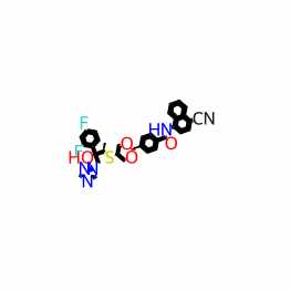 C[C@@H](S[C@H]1CO[C@H](c2ccc(C(=O)Nc3ccc(C#N)c4ccccc34)cc2)OC1)[C@](O)(Cn1cncn1)c1ccc(F)cc1F